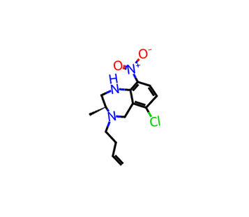 C=CCCN1Cc2c(Cl)ccc([N+](=O)[O-])c2NC[C@@H]1C